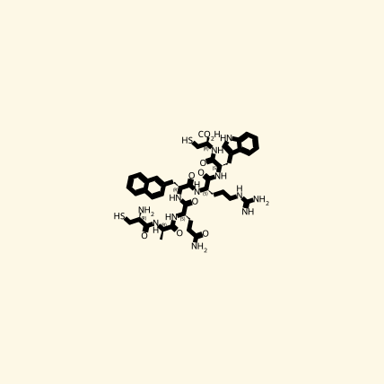 C[C@@H](NC(=O)[C@@H](N)CS)C(=O)N[C@@H](CCC(N)=O)C(=O)N[C@H](Cc1ccc2ccccc2c1)C(=O)N[C@@H](CCCNC(=N)N)C(=O)N[C@@H](Cc1c[nH]c2ccccc12)C(=O)N[C@@H](CS)C(=O)O